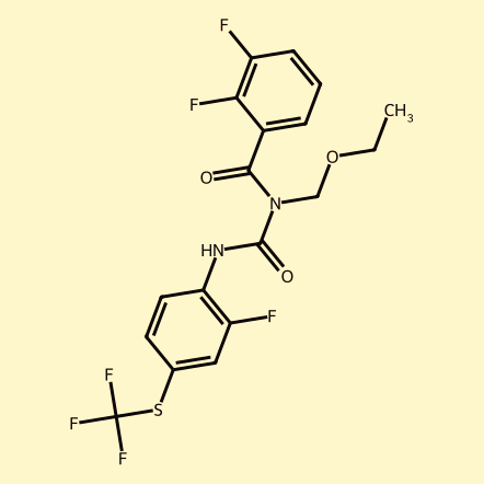 CCOCN(C(=O)Nc1ccc(SC(F)(F)F)cc1F)C(=O)c1cccc(F)c1F